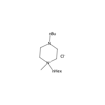 CCCCCC[N+]1(C)CCN(CCCC)CC1.[Cl-]